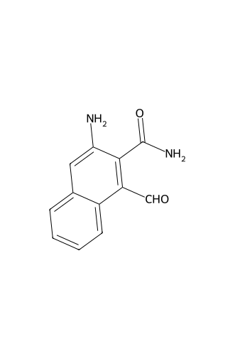 NC(=O)c1c(N)cc2ccccc2c1C=O